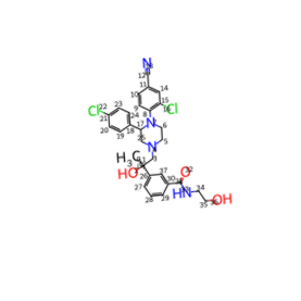 C[C@@](O)(CN1CCN(c2ccc(C#N)cc2Cl)C(c2ccc(Cl)cc2)C1)c1cccc(C(=O)NCCO)c1